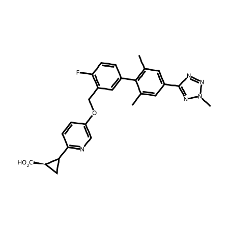 Cc1cc(-c2nnn(C)n2)cc(C)c1-c1ccc(F)c(COc2ccc(C3C[C@H]3C(=O)O)nc2)c1